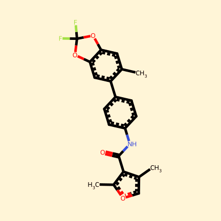 Cc1cc2c(cc1-c1ccc(NC(=O)c3c(C)coc3C)cc1)OC(F)(F)O2